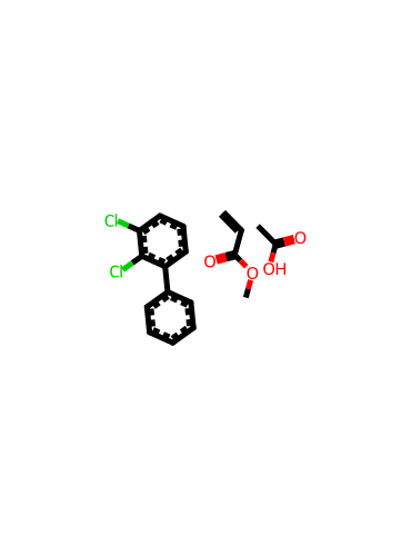 C=CC(=O)OC.CC(=O)O.Clc1cccc(-c2ccccc2)c1Cl